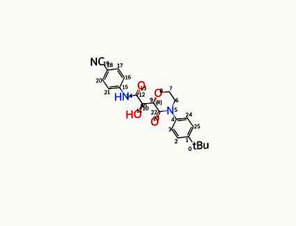 CC(C)(C)c1ccc(N2CCO[C@H]([C@@H](O)C(=O)Nc3ccc(C#N)cc3)C2=O)cc1